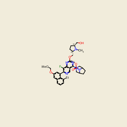 CCc1cccc2cc(OCOC)cc(-c3ncc4c(N5CC6CCC(C5)N6C(=O)OC(C)(C)C)nc(OC[C@@H]5CC[C@@H](CO)N5C)nc4c3F)c12